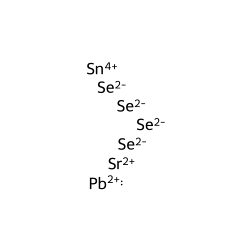 [Pb+2].[Se-2].[Se-2].[Se-2].[Se-2].[Sn+4].[Sr+2]